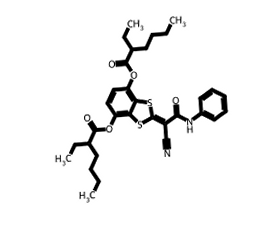 CCCCC(CC)C(=O)Oc1ccc(OC(=O)C(CC)CCCC)c2c1SC(=C(C#N)C(=O)Nc1ccccc1)S2